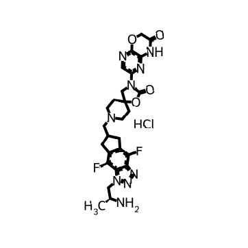 C[C@H](N)Cn1nnc2c(F)c3c(c(F)c21)CC(CN1CCC2(CC1)CN(c1cnc4c(n1)NC(=O)CO4)C(=O)O2)C3.Cl